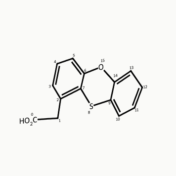 O=C(O)Cc1cccc2c1Sc1ccccc1O2